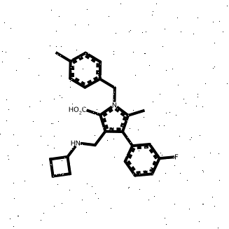 Cc1ccc(Cn2c(C)c(-c3cccc(F)c3)c(CNC3CCC3)c2C(=O)O)cc1